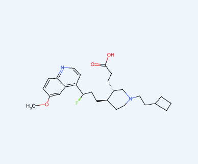 COc1ccc2nccc([C@H](F)CC[C@@H]3CCN(CCC4CCC4)C[C@H]3CCC(=O)O)c2c1